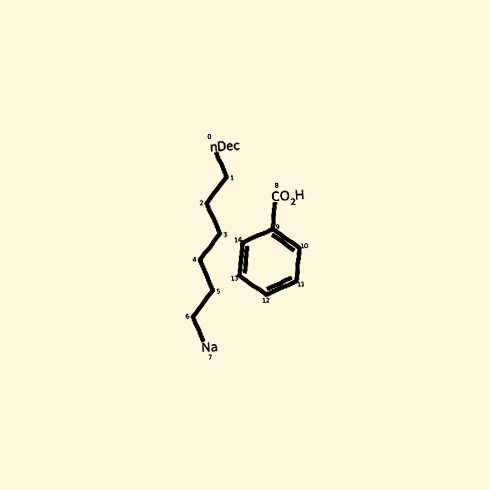 CCCCCCCCCCCCCCC[CH2][Na].O=C(O)c1ccccc1